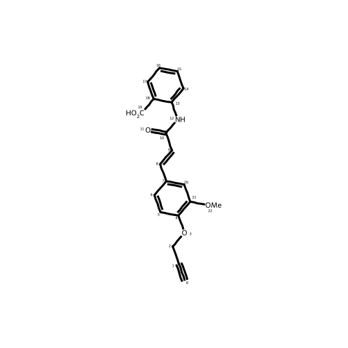 C#CCOc1ccc(C=CC(=O)Nc2ccccc2C(=O)O)cc1OC